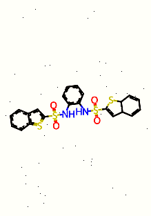 O=S(=O)(Nc1ccccc1NS(=O)(=O)c1cc2ccccc2s1)C1=CC2C=CC=CC2S1